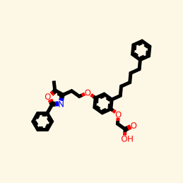 Cc1oc(-c2ccccc2)nc1CCOc1ccc(OCC(=O)O)c(CCCCCc2ccccc2)c1